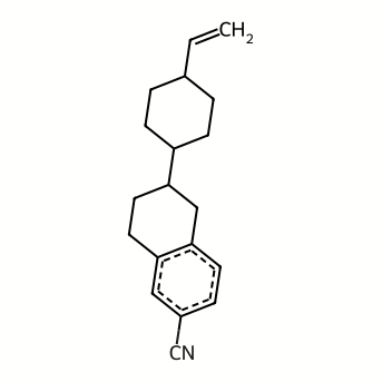 C=CC1CCC(C2CCc3cc(C#N)ccc3C2)CC1